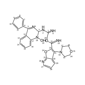 N=C(NC1N=C(c2ccccc2)c2ccccc2N1O)OC(=N)c1oc2ncccc2c1N1CCOCC1